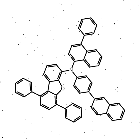 c1ccc(-c2ccc(N(c3ccc(-c4ccc5ccccc5c4)cc3)c3cccc4c3oc3c(-c5ccccc5)ccc(-c5ccccc5)c34)c3ccccc23)cc1